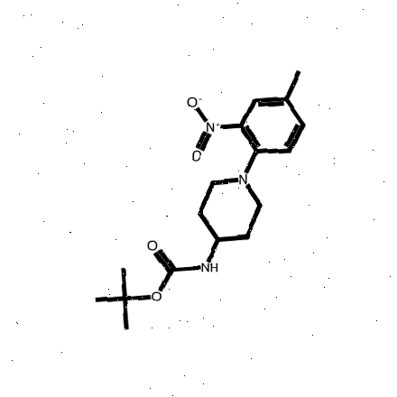 Cc1ccc(N2CCC(NC(=O)OC(C)(C)C)CC2)c([N+](=O)[O-])c1